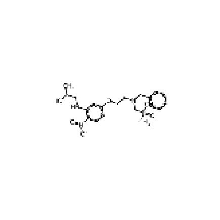 C[C@H](O)CNc1cc(OCCN(Cc2ccccc2)CP(C)(C)=O)ccc1[N+](=O)[O-]